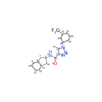 Cc1c(C(=O)NC2Cc3ccccc3C2)nnn1-c1cccc(C(F)(F)F)c1